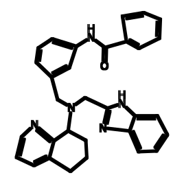 O=C(Nc1cccc(CN(Cc2nc3ccccc3[nH]2)C2CCCc3cccnc32)c1)c1ccccc1